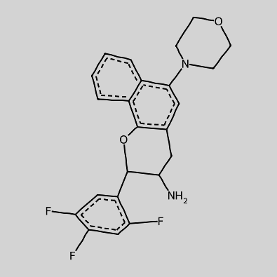 NC1Cc2cc(N3CCOCC3)c3ccccc3c2OC1c1cc(F)c(F)cc1F